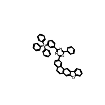 c1ccc(-c2nc(-c3cccc([Si](c4ccccc4)(c4ccccc4)c4ccccc4)c3)nc(-c3ccc4ccc5cc6oc7ccccc7c6cc5c4c3)n2)cc1